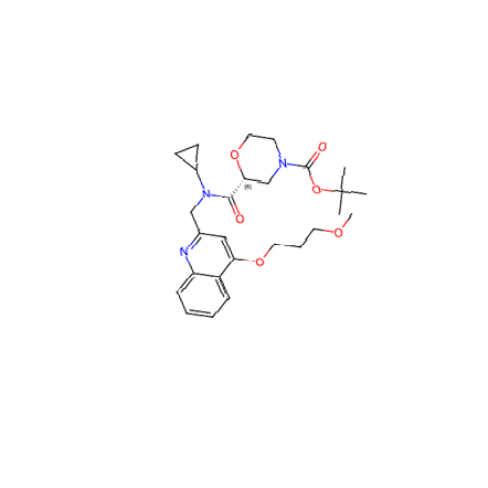 COCCCOc1cc(CN(C(=O)[C@H]2CN(C(=O)OC(C)(C)C)CCO2)C2CC2)nc2ccccc12